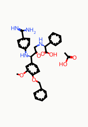 CC(=O)O.COc1cc([C@@H](Nc2ccc(C(=N)N)cc2)C(=O)CN[C@H](C(=O)O)c2ccccc2)ccc1OCc1ccccc1